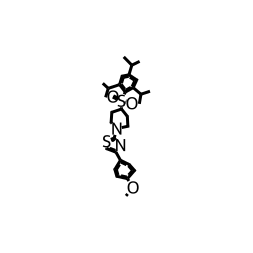 COc1ccc(-c2csc(N3CCC(S(=O)(=O)c4c(C(C)C)cc(C(C)C)cc4C(C)C)CC3)n2)cc1